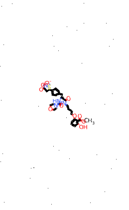 COC(=O)c1c(O)cccc1OCCCCNC(=O)[C@H](Cc1ccc(C2CC(=O)[N+]([O-])([O-])S2)cc1)NC(=O)N1CCOCC1